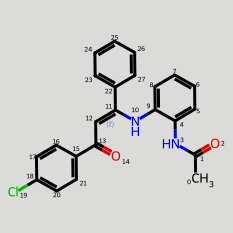 CC(=O)Nc1ccccc1N/C(=C\C(=O)c1ccc(Cl)cc1)c1ccccc1